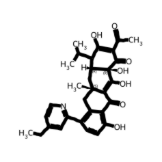 CCc1ccnc(-c2ccc(O)c3c2C[C@]2(C)C[C@@H]4C(C(C)C)C(O)=C(C(C)=O)C(=O)[C@]4(O)C(O)=C2C3=O)c1